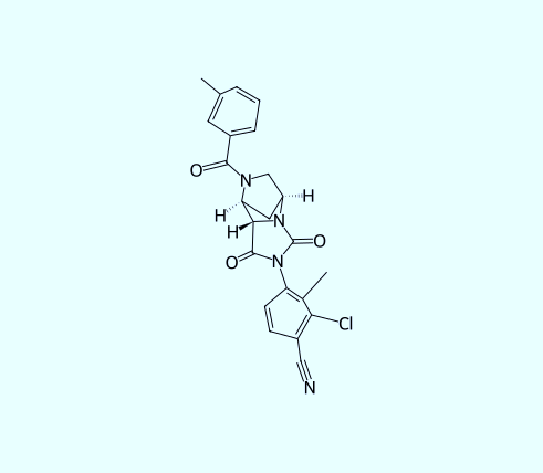 Cc1cccc(C(=O)N2C[C@@H]3C[C@H]2[C@H]2C(=O)N(c4ccc(C#N)c(Cl)c4C)C(=O)N32)c1